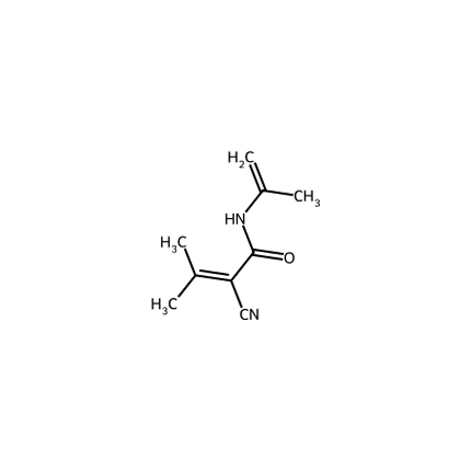 C=C(C)NC(=O)C(C#N)=C(C)C